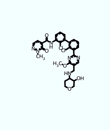 COc1nc(-c2cccc(-c3cccc(NC(=O)c4ccnn(C)c4=O)c3Cl)c2Cl)ncc1CNC1CCOCC1O